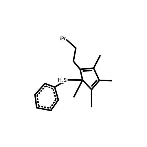 CC1=C(C)C(C)([SiH2]c2ccccc2)C(CCC(C)C)=C1C